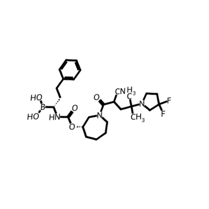 CC(C)(CC(C#N)C(=O)N1CCCC[C@H](OC(=O)N[C@@H](CCc2ccccc2)B(O)O)C1)N1CCC(F)(F)C1